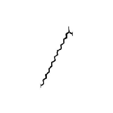 ICCCCCCCCCCCCCCCCCCC(I)I